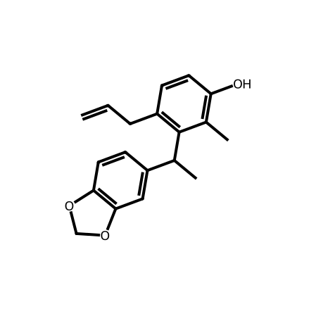 C=CCc1ccc(O)c(C)c1C(C)c1ccc2c(c1)OCO2